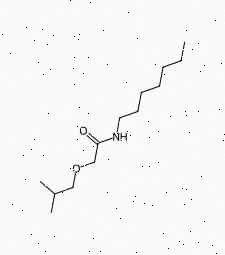 CCCCCCCNC(=O)COCC(C)C